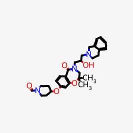 CC1(C)CN(CC(O)CN2CCc3ccccc3C2)C(=O)c2ccc(OC3CCN(C=O)CC3)cc2O1